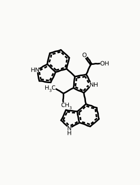 CC(C)c1c(-c2cccc3[nH]ccc23)[nH]c(C(=O)O)c1-c1cccc2[nH]ccc12